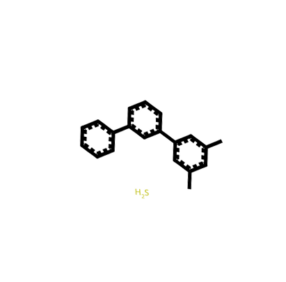 Cc1cc(C)cc(-c2cccc(-c3ccccc3)c2)c1.S